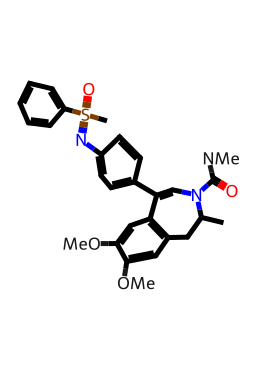 CNC(=O)N1C=C(c2ccc(N=S(C)(=O)c3ccccc3)cc2)c2cc(OC)c(OC)cc2CC1C